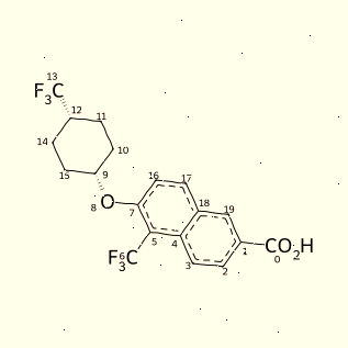 O=C(O)c1ccc2c(C(F)(F)F)c(O[C@H]3CC[C@@H](C(F)(F)F)CC3)ccc2c1